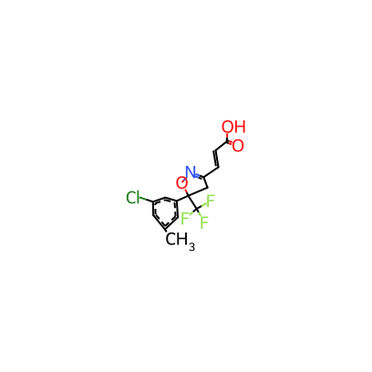 Cc1cc(Cl)cc(C2(C(F)(F)F)CC(/C=C/C(=O)O)=NO2)c1